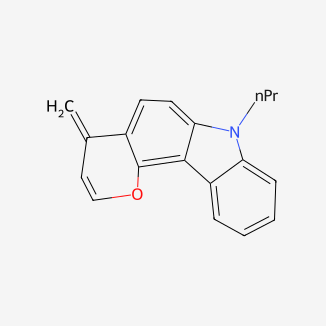 C=C1C=COc2c1ccc1c2c2ccccc2n1CCC